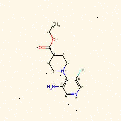 CCOC(=O)C1CCN(c2c(N)cncc2F)CC1